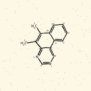 Cc1c(C)c2ncncc2c2ccccc12